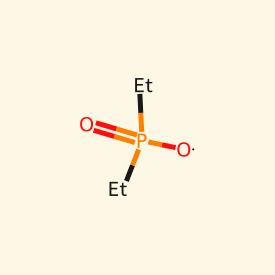 CCP([O])(=O)CC